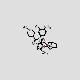 CC(=O)N1CCC(C(=O)N(CCCN2C3CCC2CC(n2c(C)nnc2C(C)C)C3)c2ccc(C)c(Cl)c2)CC1